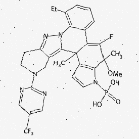 CCc1cccc2c1-n1nc3c(c1C1(C)C2=C(F)C(C)(OC)c2c1ccn2P(=O)(O)O)CN(c1ncc(C(F)(F)F)cn1)CC3